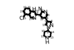 Nc1ncc(-c2cnn(C3CCNCC3)c2)cc1-c1cc2cccc(Cl)c2cn1